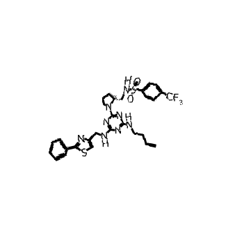 C=CCCNc1nc(NCc2csc(-c3ccccc3)n2)nc(N2CCC[C@@H]2CNS(=O)(=O)c2ccc(C(F)(F)F)cc2)n1